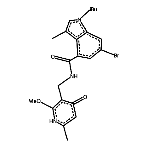 CCC(C)n1cc(C)c2c(C(=O)NCc3c(OC)[nH]c(C)cc3=O)cc(Br)cc21